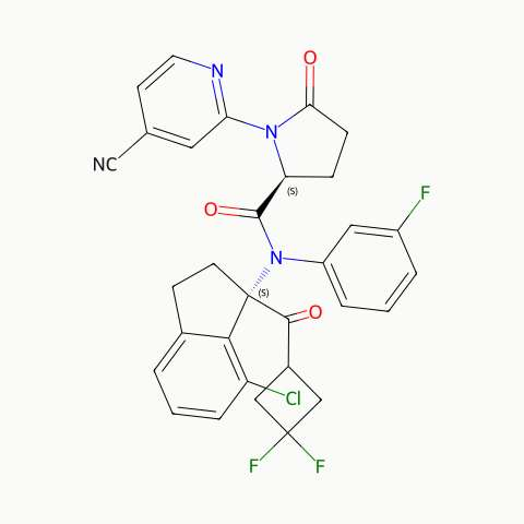 N#Cc1ccnc(N2C(=O)CC[C@H]2C(=O)N(c2cccc(F)c2)[C@@]2(C(=O)C3CC(F)(F)C3)CCc3cccc(Cl)c32)c1